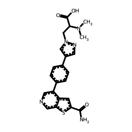 CN(C)C(Cn1cc(-c2ccc(-c3cncc4sc(C(N)=O)cc34)cc2)cn1)C(=O)O